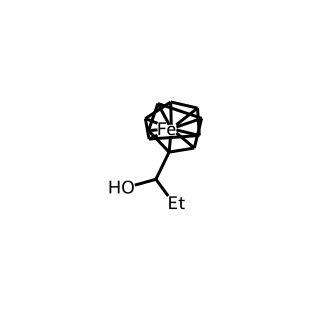 CCC(O)[C]12[CH]3[CH]4[CH]5[CH]1[Fe]45321678[CH]2[CH]1[CH]6[CH]7[CH]28